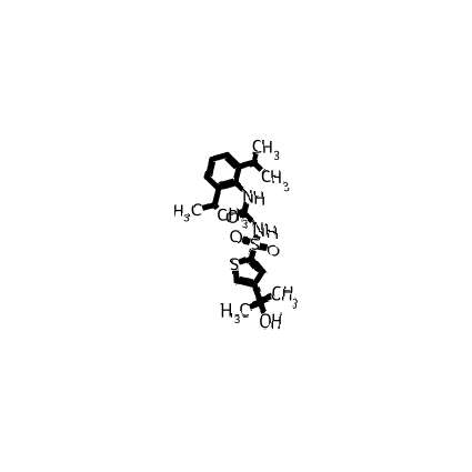 CC(C)c1cccc(C(C)C)c1NC(=O)NS(=O)(=O)c1cc(C(C)(C)O)cs1